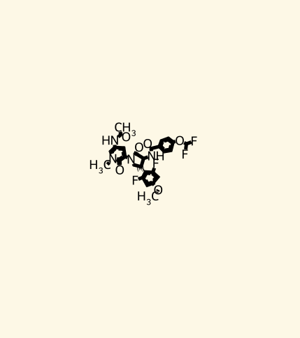 COc1cc(F)c([C@@H]2CN(c3cc(NC(C)=O)cn(C)c3=O)C(=O)C2NC(=O)c2ccc(OC(F)F)cc2)c(F)c1